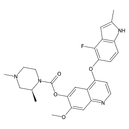 COc1cc2nccc(Oc3ccc4[nH]c(C)cc4c3F)c2cc1OC(=O)N1CCN(C)C[C@@H]1C